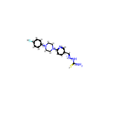 NC(=S)N/N=C/c1ccc(N2CCN(c3ccc(F)cc3)CC2)nc1